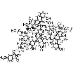 CC[C@H](C)[C@H](NC(=O)[C@H](CO)NC(=O)[C@H](Cc1ccc(O)cc1)NC(=O)[C@H](CC(=O)O)NC(=O)[C@H](CO)NC(=O)[C@@H](NC(=O)[C@H](Cc1ccccc1)NC(=O)[C@@H](NC(=O)CNC(=O)[C@H](CCC(=O)O)NC(=O)C(C)(C)C(=O)NCCCN1C(=O)c2ccc(C)cc2C1=O)[C@@H](C)O)[C@@H](C)O)C(=O)N[C@@H](Cc1ccc(O)cc1)C(=O)N[C@@H](CC(C)C)C(=O)N[C@@H](CC(=O)O)C(=O)N[C@H](C)CCCCN